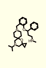 CNCCC(Oc1ccccc1CN1CCC2(CC1)CN(C(C)C)CC1(CC1)O2)c1ccccc1